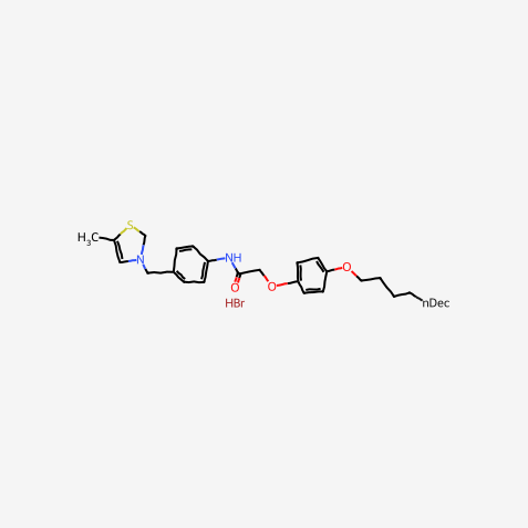 Br.CCCCCCCCCCCCCCOc1ccc(OCC(=O)Nc2ccc(CN3C=C(C)SC3)cc2)cc1